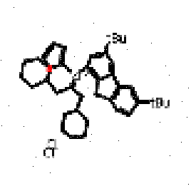 CC(C)(C)c1ccc2c(c1)-c1cc(C(C)(C)C)c[c]([Zr+2]([C]3=CC=CC3)=[C](CC3CCCCC3)CC3CCCCC3)c1C2.[Cl-].[Cl-]